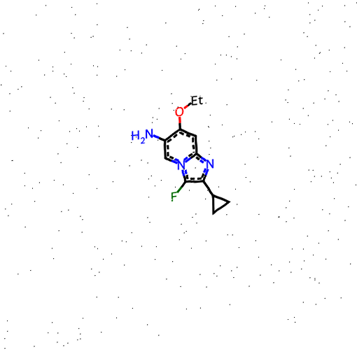 CCOc1cc2nc(C3CC3)c(F)n2cc1N